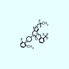 Cc1cccc(F)c1N1CCC(N2Cc3nn(CC(C)(F)F)cc3N(Cc3ccccc3C(F)(F)F)C2=O)CC1